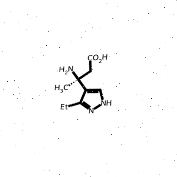 CCc1n[nH]cc1[C@@](C)(N)CC(=O)O